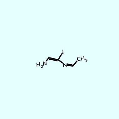 C/C=N\C(I)=C/N